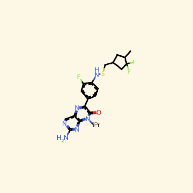 CC(C)n1c(=O)c(-c2ccc(NSCC3CC(C)C(F)(F)C3)c(F)c2)nc2cnc(N)nc21